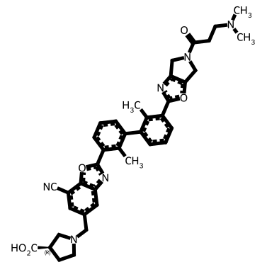 Cc1c(-c2nc3c(o2)CN(C(=O)CCN(C)C)C3)cccc1-c1cccc(-c2nc3cc(CN4CC[C@@H](C(=O)O)C4)cc(C#N)c3o2)c1C